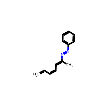 C=C\C=C/C=C(C)/N=N/c1ccccc1